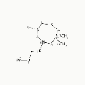 CC(C)OCSN1C[C@H](F)CCCC(C)(C)C1